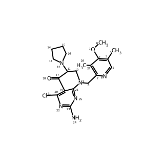 COc1c(C)cnc(CN2CC(N3CCCC3)C(=O)c3c(Cl)nc(N)nc32)c1C